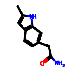 Cc1cc2ccc(CC(N)=O)cc2[nH]1